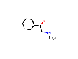 O=C(O)NCC(O)C1CCCCC1